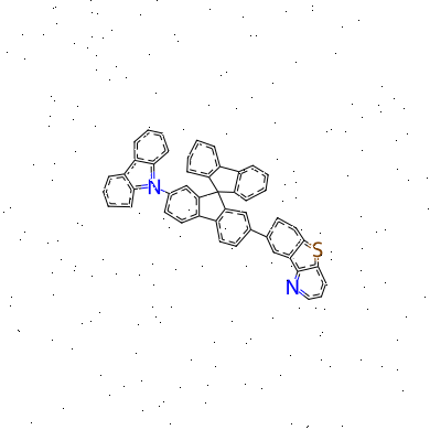 c1ccc2c(c1)-c1ccccc1C21c2cc(-c3ccc4sc5cccnc5c4c3)ccc2-c2ccc(-n3c4ccccc4c4ccccc43)cc21